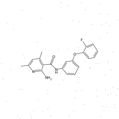 Cc1cc(C)c(C(=O)Nc2cccc(Oc3ccccc3F)c2)c(N)n1